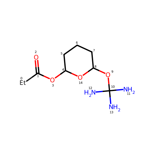 CCC(=O)OC1CCCC(OC(N)(N)N)O1